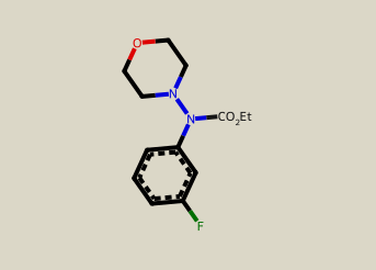 CCOC(=O)N(c1cccc(F)c1)N1CCOCC1